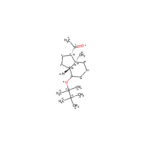 CC(=O)[C@H]1CC[C@H]2C(O[Si](C)(C)C(C)(C)C)CCC[C@]12C